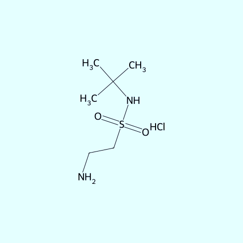 CC(C)(C)NS(=O)(=O)CCN.Cl